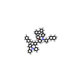 CC1(c2ccc3ccccc3c2)c2cc(-c3ccc(N(c4cccc(-c5ccc6ccccc6c5)c4)c4cccc5c4-c4ccccc4C54c5ccccc5-c5ccccc54)cc3)cc3c2-c2c1ccc1c4ccccc4n(c21)-c1ccccc1-3